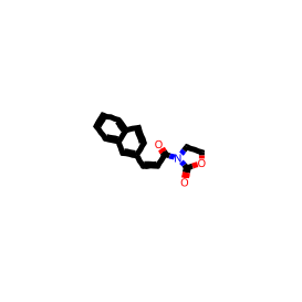 O=C(/C=C\c1ccc2ccccc2c1)N1CCOC1=O